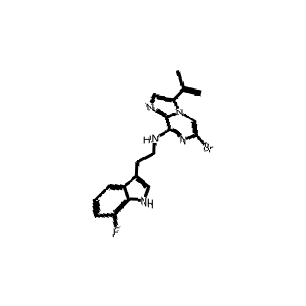 C=C(C)c1cnc2c(NCCc3c[nH]c4c(F)cccc34)nc(Br)cn12